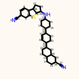 N#CC1C=CC2C(C1)SC1C(NC3CCC(C4C=CC(C5CCC6CCC(C#N)CC6C5)CC4)CC3)CCC21